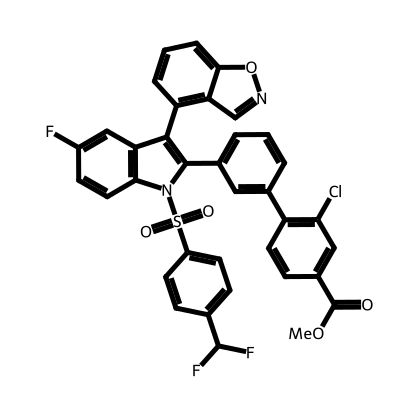 COC(=O)c1ccc(-c2cccc(-c3c(-c4cccc5oncc45)c4cc(F)ccc4n3S(=O)(=O)c3ccc(C(F)F)cc3)c2)c(Cl)c1